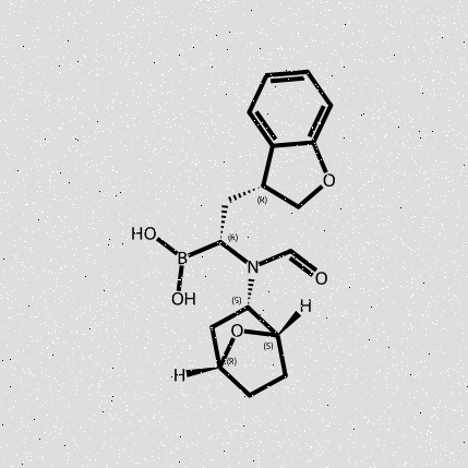 O=CN([C@@H](C[C@H]1COc2ccccc21)B(O)O)[C@H]1C[C@H]2CC[C@@H]1O2